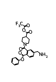 NCc1ccc(C(=O)Oc2ccccc2)c(C(=O)N2CCC(C(=O)OC(=O)C(F)(F)F)CC2)c1